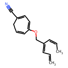 C=C/C=C(\C=C/C)COC1=CC=C(C#N)CC=C1